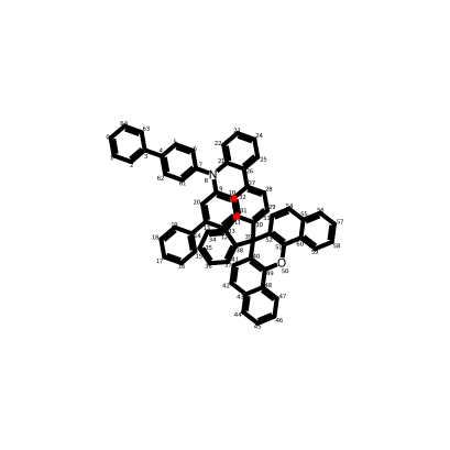 c1ccc(-c2ccc(N(c3cccc(-c4ccccc4)c3)c3ccccc3-c3ccc4c(c3)-c3ccccc3C43c4ccc5ccccc5c4Oc4c3ccc3ccccc43)cc2)cc1